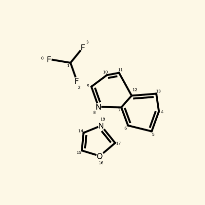 FC(F)F.c1ccc2ncccc2c1.c1cocn1